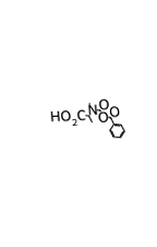 C[C@@H](C(=O)O)N(C)C(=O)OC(=O)c1ccccc1